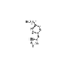 O=C(O)c1ccc(Cc2ncc[nH]2)cn1